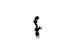 N#Cc1cc(-c2ccc(Cl)cc2)cnc1C#CCCc1ccc(CN2CCCC2)cc1